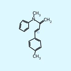 C=C(/C=C/c1ccc(C)cc1)N(C)c1ccccc1